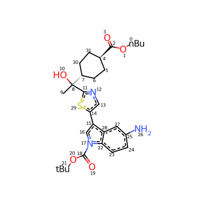 CCCCOC(=O)[C@H]1CC[C@H](C(C)(O)c2ncc(-c3cn(C(=O)OC(C)(C)C)c4ccc(N)cc34)s2)CC1